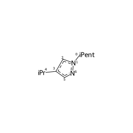 CCCC(C)n1cc(C(C)C)cn1